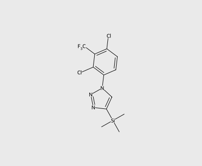 C[Si](C)(C)c1cn(-c2ccc(Cl)c(C(F)(F)F)c2Cl)nn1